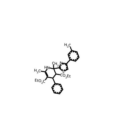 CCOC(=O)C1=C(C)NC(C)(c2nc(-c3cccc(C)c3)cs2)C(C(=O)OCC)C1c1ccccc1